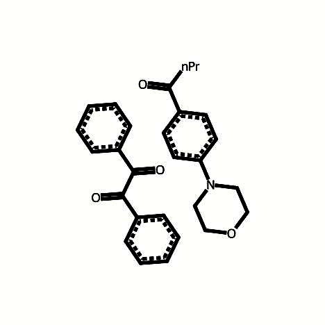 CCCC(=O)c1ccc(N2CCOCC2)cc1.O=C(C(=O)c1ccccc1)c1ccccc1